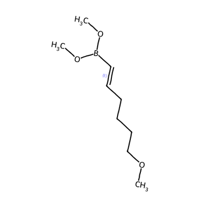 COCCCC/C=C/B(OC)OC